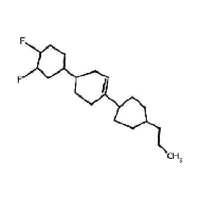 CCCC1CCC(C2=CCC(C3CCC(F)C(F)C3)CC2)CC1